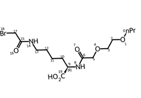 CCCOCCOCC(=O)N[C@H](CCCCNC(=O)CBr)C(=O)O